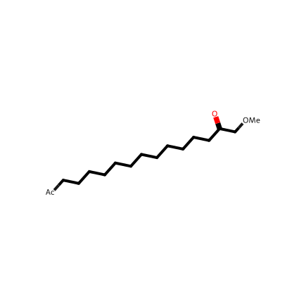 COCC(=O)CCCCCCCCCCCCC(C)=O